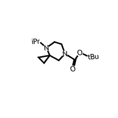 CC(C)N1CCN(C(=O)OC(C)(C)C)CC12CC2